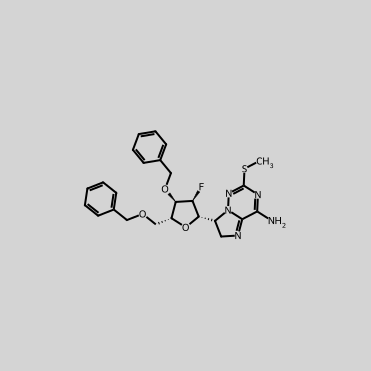 CSC1=NN2C(=NCC2[C@@H]2O[C@H](COCc3ccccc3)[C@@H](OCc3ccccc3)[C@H]2F)C(N)=N1